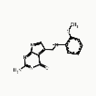 COc1ccccc1NCC1=C2C(=O)N=C(N)N=C2N=C1